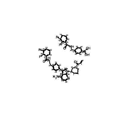 C=CC(=O)N1CCC[C@@H](n2nc(-c3ccc(CNC(=O)c4cccc(F)c4F)cc3)c3c(N)ncnc32)C1.O=C(NCc1ccc(B(O)O)cc1)c1cccc(F)c1F